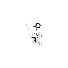 C=Cc1ccccc1CNC(C)NC(CC)[Si](OC)(OC)OC.Cl